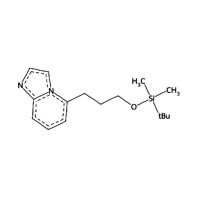 CC(C)(C)[Si](C)(C)OCCCc1cccc2nccn12